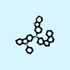 C1=Cc2c(sc3cc(N(c4ccc5ccc6ccc7ccccc7c6c5c4)c4ccc5c6ccccc6n(-c6ccccc6)c5c4)ccc23)CC1